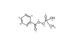 CP(=O)(O)OOC(=O)c1ccccc1